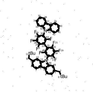 CC(C)(C)Cc1ccc2c3ccc(CC(C)(C)C)cc3n(-c3c(F)c(F)c(F)c(-c4c(F)c(F)c(F)c(-n5c6ccccc6c6ccccc65)c4F)c3F)c2c1